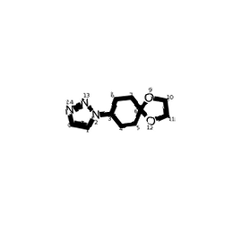 c1cn(C2CCC3(CC2)OCCO3)nn1